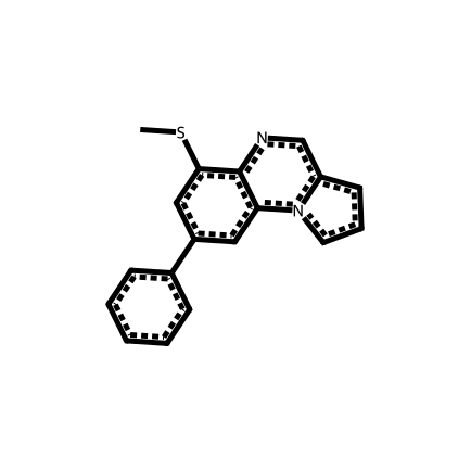 CSc1cc(-c2ccccc2)cc2c1ncc1cccn12